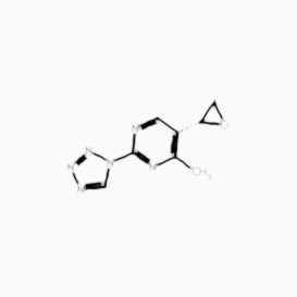 Cc1nc(-n2cnnn2)ncc1[C@@H]1CO1